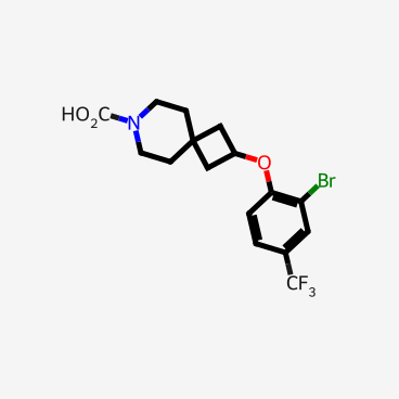 O=C(O)N1CCC2(CC1)CC(Oc1ccc(C(F)(F)F)cc1Br)C2